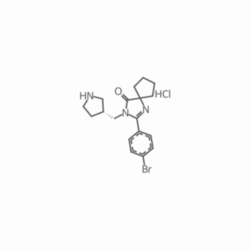 Cl.O=C1N(C[C@@H]2CCNC2)C(c2ccc(Br)cc2)=NC12CCCC2